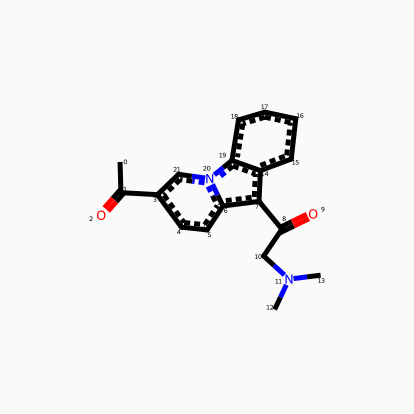 CC(=O)c1ccc2c(C(=O)CN(C)C)c3ccccc3n2c1